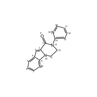 O=C1c2cc3cccnc3n2CCN1c1ccccn1